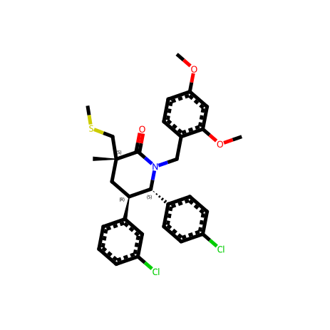 COc1ccc(CN2C(=O)[C@@](C)(CSC)C[C@H](c3cccc(Cl)c3)[C@H]2c2ccc(Cl)cc2)c(OC)c1